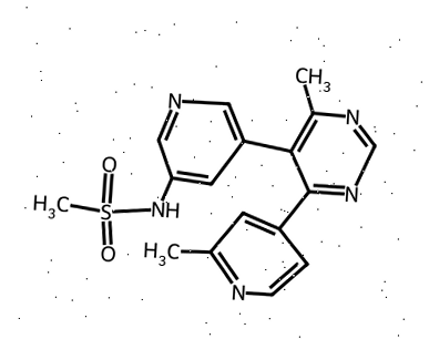 Cc1cc(-c2ncnc(C)c2-c2cncc(NS(C)(=O)=O)c2)ccn1